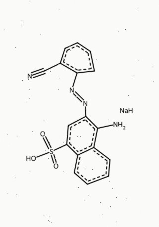 N#Cc1ccccc1/N=N/c1cc(S(=O)(=O)O)c2ccccc2c1N.[NaH]